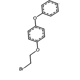 BrCCOc1ccc(Oc2cc[c]cc2)cc1